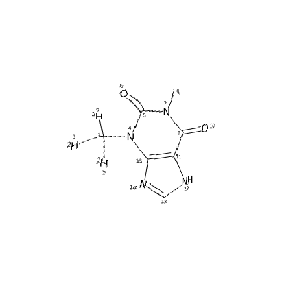 [2H]C([2H])([2H])n1c(=O)n(C)c(=O)c2[nH]cnc21